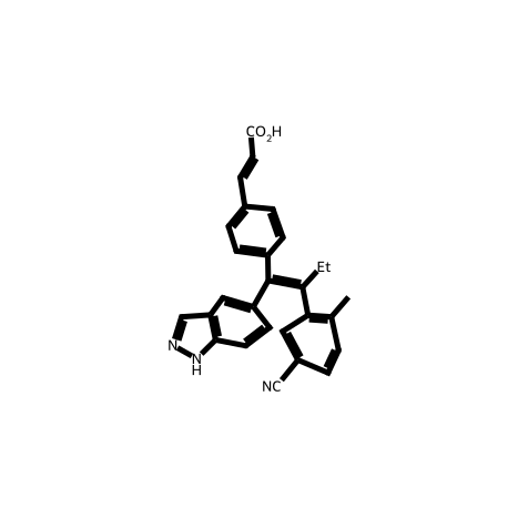 CCC(=C(c1ccc(C=CC(=O)O)cc1)c1ccc2[nH]ncc2c1)c1cc(C#N)ccc1C